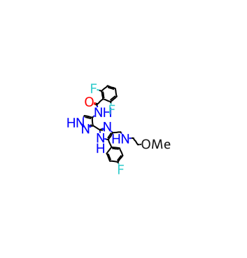 COCCNCc1nc(-c2n[nH]cc2NC(=O)c2c(F)cccc2F)[nH]c1-c1ccc(F)cc1